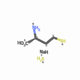 N[C@@H](CCS)C(=O)O.S.[NaH]